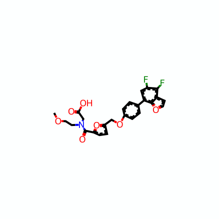 COCCN(CC(=O)O)C(=O)c1ccc(COc2ccc(-c3cc(F)c(F)c4ccoc34)cc2)o1